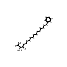 CCC(O)C(C(=O)CCCCCCCCCCCCCCc1ccccc1)C(C)C